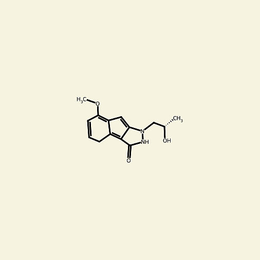 COC1=C2C=c3c(c(=O)[nH]n3C[C@H](C)O)=C2CC=C1